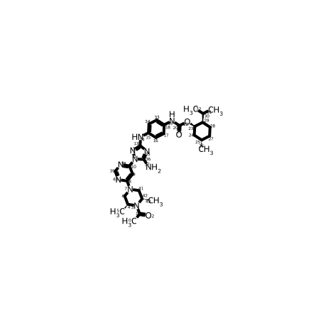 CC(=O)N1[C@H](C)CN(c2cc(-n3nc(Nc4ccc(NC(=O)O[C@@H]5C[C@@H](C)CC[C@@H]5C(C)C)cc4)nc3N)ncn2)C[C@@H]1C